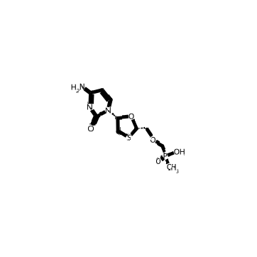 CP(=O)(O)COC[C@H]1O[C@@H](n2ccc(N)nc2=O)CS1